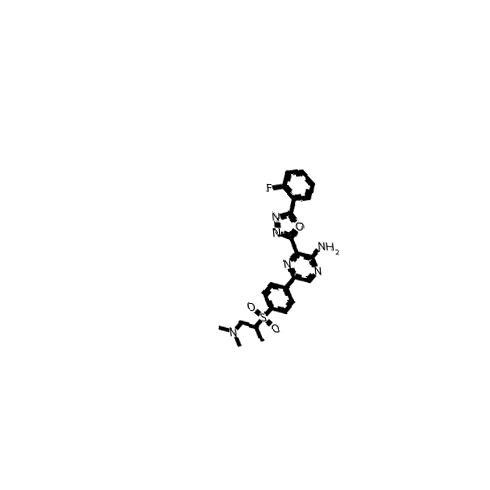 CC(CN(C)C)S(=O)(=O)c1ccc(-c2cnc(N)c(-c3nnc(-c4ccccc4F)o3)n2)cc1